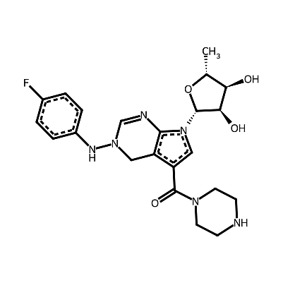 C[C@H]1O[C@@H](n2cc(C(=O)N3CCNCC3)c3c2N=CN(Nc2ccc(F)cc2)C3)[C@H](O)[C@@H]1O